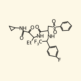 CCC(NC(=O)C(CS(=O)(=O)c1ccccc1)NC(c1ccc(F)cc1)C(F)(F)F)C(=O)C(=O)NC1CC1